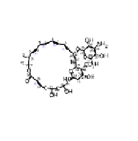 C[C@H]1/C=C/C=C/C=C/C=C/[C@H](O[C@@H]2O[C@H](C)[C@@H](O)[C@H](N)[C@H]2O)C[C@@H]2OC(O)(CC(O)CC(O)C/C=C/C(=O)O[C@@H]1C)C[C@H](O)[C@H]2C(=O)O